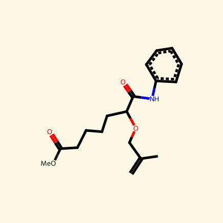 C=C(C)COC(CCCCC(=O)OC)C(=O)Nc1ccccc1